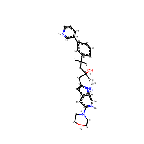 CC(C)(CC(O)(Cc1cc2cc(N3CCOCC3)ncc2[nH]1)C(F)(F)F)c1cccc(-c2cccnc2)c1